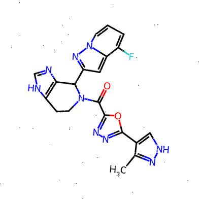 Cc1n[nH]cc1-c1nnc(C(=O)N2CCc3[nH]cnc3C2c2cc3c(F)cccn3n2)o1